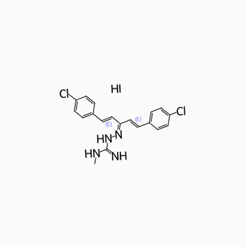 CNC(=N)NN=C(/C=C/c1ccc(Cl)cc1)/C=C/c1ccc(Cl)cc1.I